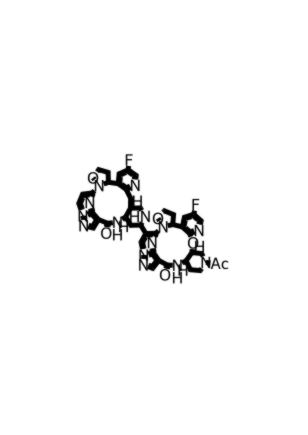 CC(=O)N1CC[C@H]2NC(=O)c3cnn4cc(C5C[C@H]6NC(=O)c7cnn8ccc(nc78)N7OCCC7c7cc(F)cnc7C[C@H]6CN5)c(nc34)N3OCCC3c3cc(F)cnc3O[C@H]2C1